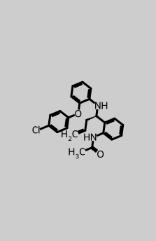 C=CC[C@@H](Nc1ccccc1Oc1ccc(Cl)cc1)c1ccccc1NC(C)=O